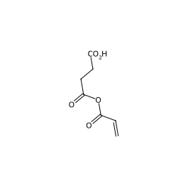 C=CC(=O)OC(=O)CCC(=O)O